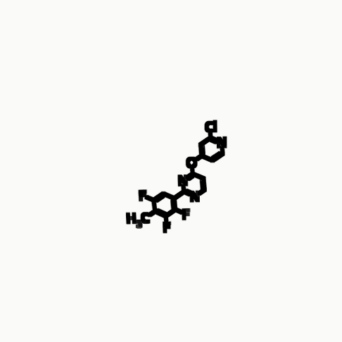 Cc1c(F)cc(-c2nccc(Oc3ccnc(Cl)c3)n2)c(F)c1F